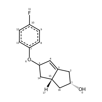 O[C@H]1CC2=CC(Oc3ccc(F)cc3)C[C@H]2C1